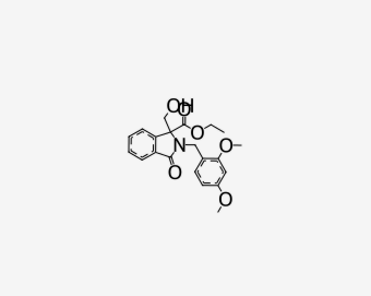 CCOC(=O)C1(CO)c2ccccc2C(=O)N1Cc1ccc(OC)cc1OC